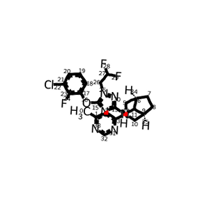 Cc1cc(N2C[C@H]3CC[C@@H](C2)C3Nc2nc(Oc3cccc(Cl)c3F)n(CC(F)F)n2)ncn1